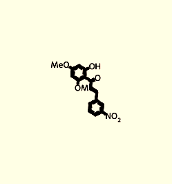 COc1cc(O)c(C(=O)C=Cc2cccc([N+](=O)[O-])c2)c(OC)c1